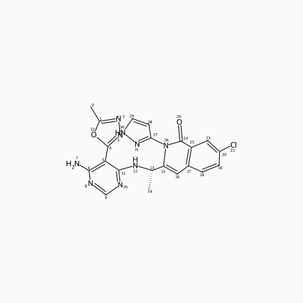 Cc1nnc(-c2c(N)ncnc2N[C@@H](C)c2cc3ccc(Cl)cc3c(=O)n2-c2cc[nH]n2)o1